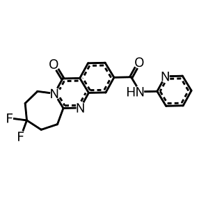 O=C(Nc1ccccn1)c1ccc2c(=O)n3c(nc2c1)CCC(F)(F)CC3